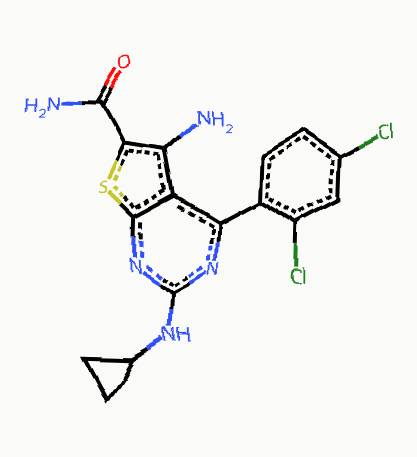 NC(=O)c1sc2nc(NC3CC3)nc(-c3ccc(Cl)cc3Cl)c2c1N